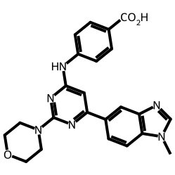 Cn1cnc2cc(-c3cc(Nc4ccc(C(=O)O)cc4)nc(N4CCOCC4)n3)ccc21